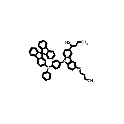 CCCCSc1ccc2c(c1)c1cc(C(S)CCC)ccc1n2-c1ccc(N(c2ccccc2)c2ccc3c(c2)C2(c4ccccc4-c4ccccc42)c2ccccc2-3)cc1